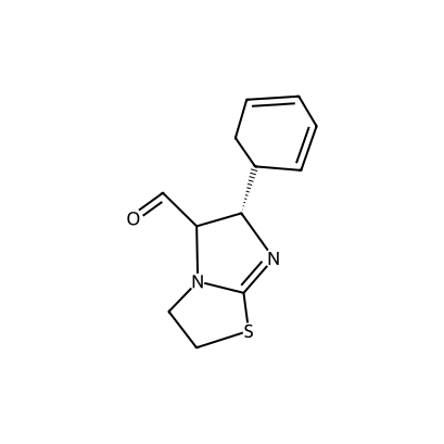 O=CC1[C@H](C2C=CC=CC2)N=C2SCCN21